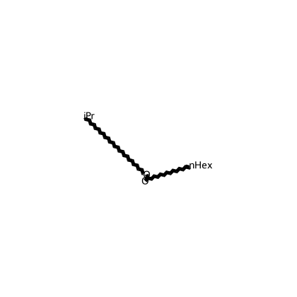 CCCCCCC=CCCCCCCCCCCCC(=O)OCCCCCCCCCCCCCCCCCCCCCCCCCC(C)C